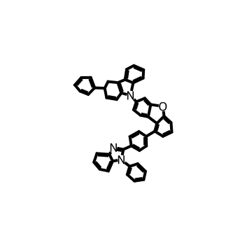 C1=CC(c2ccccc2)Cc2c1n(-c1ccc3c(c1)oc1cccc(-c4ccc(-c5nc6ccccc6n5-c5ccccc5)cc4)c13)c1ccccc21